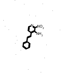 Nc1c(C=Cc2ccccc2)ccnc1[N+](=O)[O-]